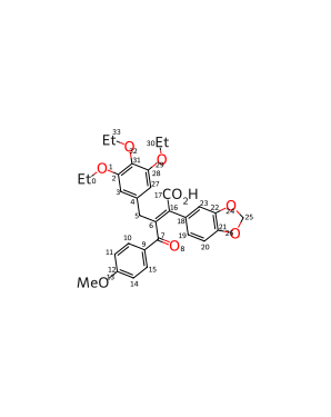 CCOc1cc(CC(C(=O)c2ccc(OC)cc2)=C(C(=O)O)c2ccc3c(c2)OCO3)cc(OCC)c1OCC